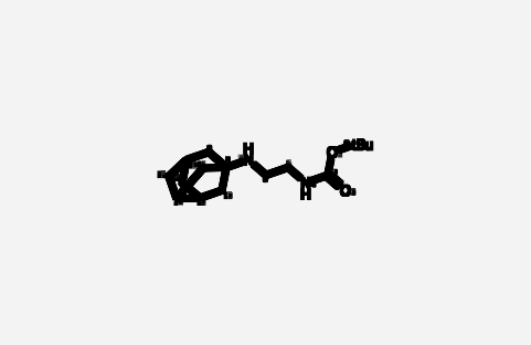 CC(C)(C)OC(=O)NCCNC12CC3CC(C1)C(C3)C2